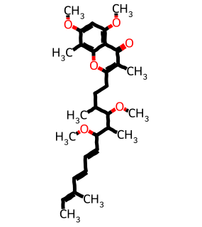 C/C=C(C)/C=C/C=C/C(OC)C(C)C(OC)C(C)CCc1oc2c(C)c(OC)cc(OC)c2c(=O)c1C